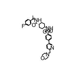 C[C@@H](NC(=O)[C@H]1CC[C@H](NS(=O)(=O)c2ccc(-c3ccc(CN4CCOCC4)nc3)cc2)CC1)c1ccc(F)cc1